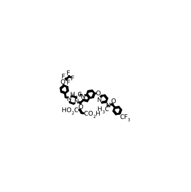 CN(C(=O)c1ccc(C(F)(F)F)cc1)c1ccc(Oc2ccc3c(c2)cc(C(=O)N2CCN(Cc4ccc(OC(F)(F)C(F)F)cc4)CC2)n3C)nc1.O=C(O)C=CC(=O)O